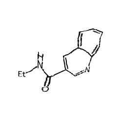 [CH2]CNC(=O)c1cnc2ccccc2c1